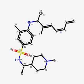 C=C/C=C\C=C(/C)C(Nc1ccc(S(=O)(=O)N[C@H](C)C2CCN(C)CC2)cc1C)C(F)(F)F